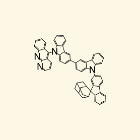 c1ccc2c(c1)-c1ccc(-n3c4ccccc4c4cc(-c5ccc6c(c5)c5ccccc5n6-c5c6ccccc6nc6ncccc56)ccc43)cc1C21C2CC3CC(C2)CC1C3